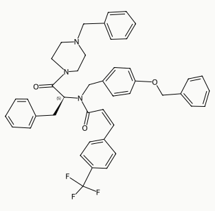 O=C([C@H](Cc1ccccc1)N(Cc1ccc(OCc2ccccc2)cc1)C(=O)C=Cc1ccc(C(F)(F)F)cc1)N1CCN(Cc2ccccc2)CC1